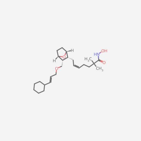 CC(C)(CC/C=C\C[C@@H]1[C@H](COCC=CC2CCCCC2)[C@@H]2CC[C@H]1O2)C(=O)NO